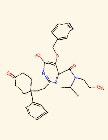 CC(C)N(CCO)C(=O)c1nc(CC2(c3ccccc3)CCC(=O)CC2)nc(O)c1OCc1ccccc1